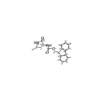 CC1C[C@H](NC(=O)OCC2c3ccccc3-c3ccccc32)C(=O)N1